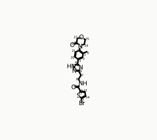 Cc1cc(-c2nc(CCNC(=O)c3ccc(Br)s3)n[nH]2)ccc1N1CCOCC1=O